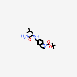 CC(C)C[C@@H](NCc1ccc2c(ccn2C(=O)OC(C)(C)C)c1)C(N)=O